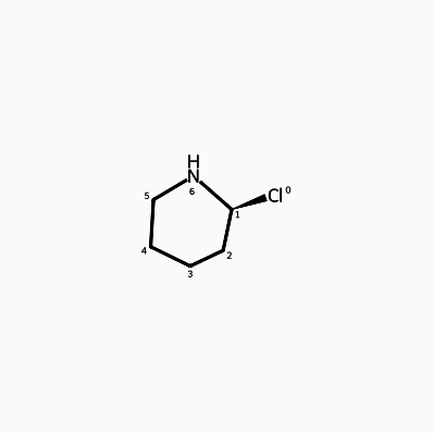 Cl[C@H]1CCCCN1